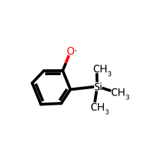 C[Si](C)(C)c1ccccc1[O]